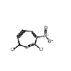 O=[N+]([O-])C1=CC#CC(Cl)N=C1Cl